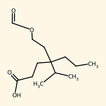 CCCC(CCOC=O)(CCC(=O)O)C(C)C